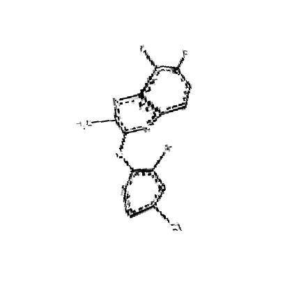 Cc1nc2c(F)c(F)ccc2nc1Oc1ncc(Cl)cc1Br